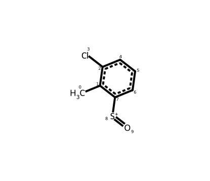 Cc1c(Cl)cccc1[S+]=O